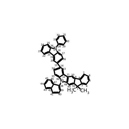 CC1(C)c2ccccc2-c2cc3c4cc(-c5ccc6c(c5)c5ccccc5n6-c5ccccc5)ccc4n(-c4cccc5ccccc45)c3cc21